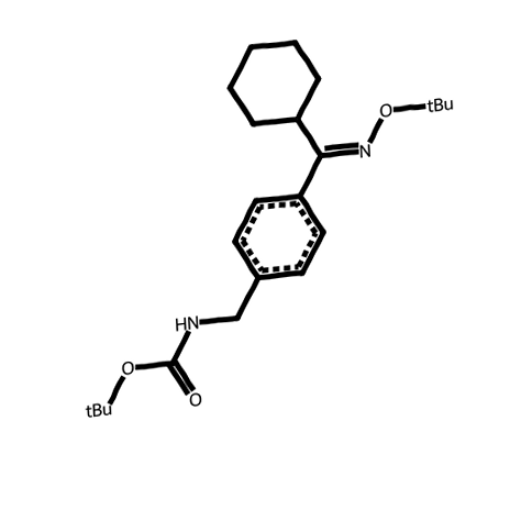 CC(C)(C)O/N=C(/c1ccc(CNC(=O)OC(C)(C)C)cc1)C1CCCCC1